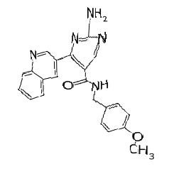 COc1ccc(CNC(=O)c2cnc(N)nc2-c2cnc3ccccc3c2)cc1